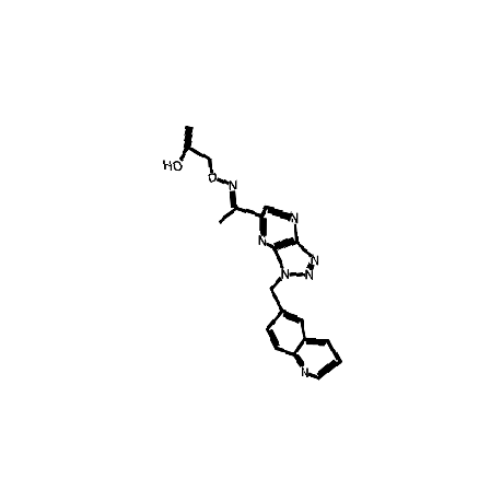 C=C(O)CO/N=C(\C)c1cnc2nnn(Cc3ccc4ncccc4c3)c2n1